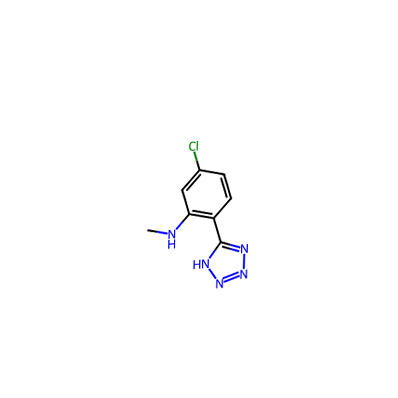 CNc1cc(Cl)ccc1-c1nnn[nH]1